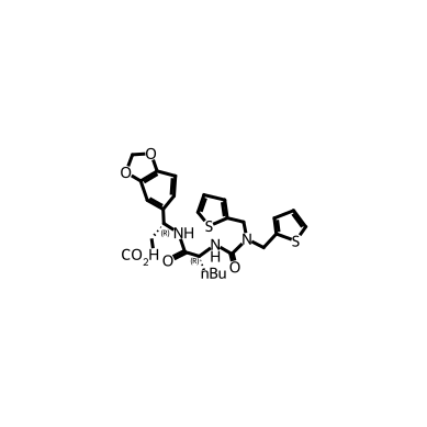 CCCC[C@@H](NC(=O)N(Cc1cccs1)Cc1cccs1)C(=O)N[C@H](CC(=O)O)c1ccc2c(c1)OCO2